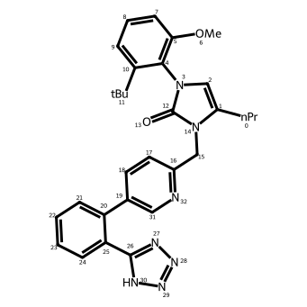 CCCc1cn(-c2c(OC)cccc2C(C)(C)C)c(=O)n1Cc1ccc(-c2ccccc2-c2nnn[nH]2)cn1